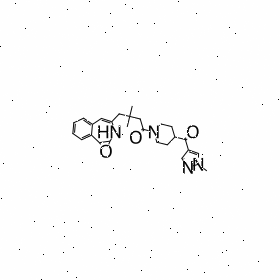 Cn1cc(C(=O)C2CCN(C(=O)CC(C)(C)CC3=Cc4ccccc4C4OC4N3)CC2)cn1